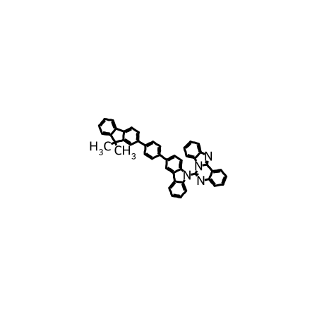 CC1(C)c2ccccc2-c2ccc(-c3ccc(-c4ccc5c(c4)c4ccccc4n5-c4nc5ccccc5c5nc6ccccc6n45)cc3)cc21